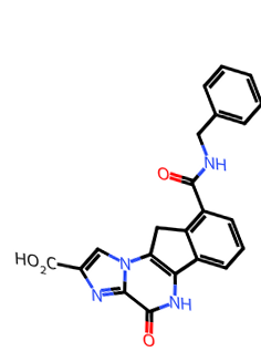 O=C(O)c1cn2c3c([nH]c(=O)c2n1)-c1cccc(C(=O)NCc2ccccc2)c1C3